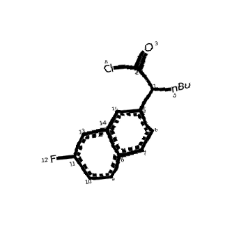 CCCCC(C(=O)Cl)c1ccc2ccc(F)cc2c1